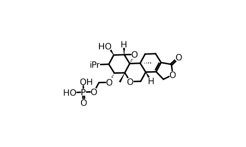 CC(C)C1[C@@H](O)[C@@H]2O[C@@]23[C@@]2(C)CCC4=C(COC4=O)[C@@H]2CO[C@]3(C)[C@@H]1OCOP(=O)(O)O